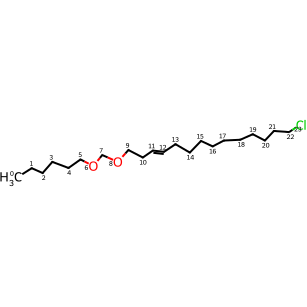 CCCCCCOCOCCC=CCCCCCCCCCCCl